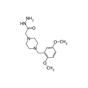 COc1ccc(OC)c(CN2CCN(CC(=O)NN)CC2)c1